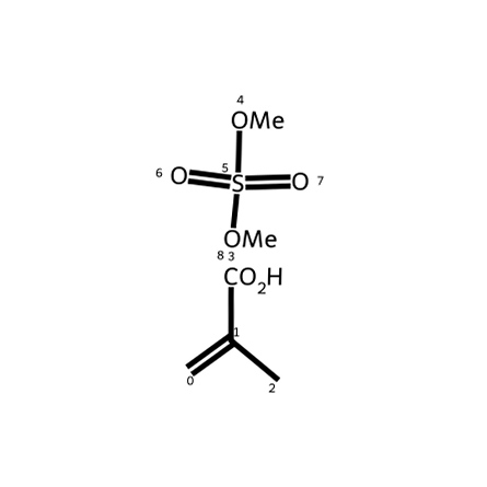 C=C(C)C(=O)O.COS(=O)(=O)OC